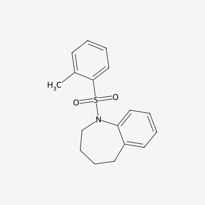 Cc1ccccc1S(=O)(=O)N1CCCCc2ccccc21